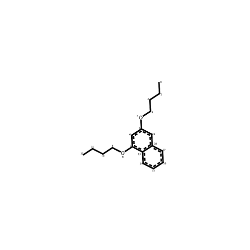 CCCCOc1cc(OCCCC)c2ccccc2c1